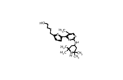 Cc1cnc(NC2CC(C)(C)NC(C)(C)C2)nc1-c1ccc(CCCCO)s1